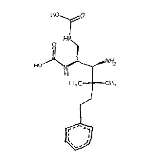 CC(C)(CCc1ccccc1)[C@H](N)[C@H](CNC(=O)O)NC(=O)O